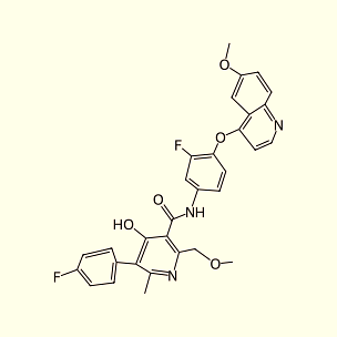 COCc1nc(C)c(-c2ccc(F)cc2)c(O)c1C(=O)Nc1ccc(Oc2ccnc3ccc(OC)cc23)c(F)c1